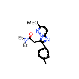 CCN(CC)C(=O)Cc1c(-c2ccc(C)cc2)nc2ccc(OC)nn12